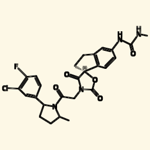 CNC(=O)Nc1ccc2c(c1)CC[C@@]21OC(=O)N(CC(=O)N2C(C)CCC2c2ccc(F)c(Cl)c2)C1=O